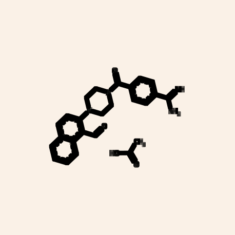 CC(=O)O.N=C(N)c1ccc(C(=O)N2CCN(c3ccc4ccccc4c3C=O)CC2)cc1